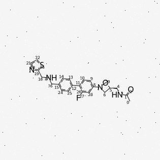 CC(=O)NC[C@H]1CN(c2ccc(-c3ccc(CNCc4nccs4)cc3)c(F)c2)O1